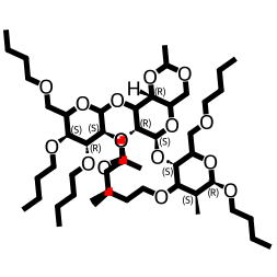 CCCCOCC1O[C@@H](OCCCC)[C@@H](C)C(OCCCC)[C@@H]1O[C@@H]1OC2COC(C)O[C@H]2C(OC2OC(COCCCC)[C@H](OCCCC)[C@@H](OCCCC)[C@@H]2OC(C)=O)[C@H]1OCCCC